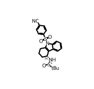 CC(C)(C)[S+]([O-])N[C@@H]1CCCc2c1c1ccccc1n2S(=O)(=O)c1ccc(C#N)cc1